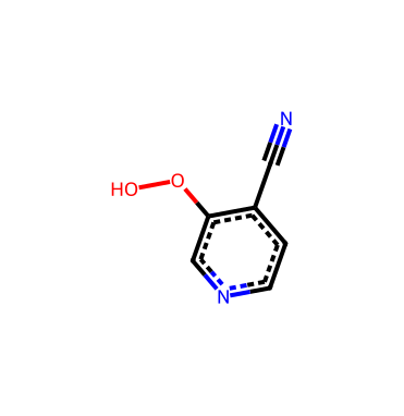 N#Cc1ccncc1OO